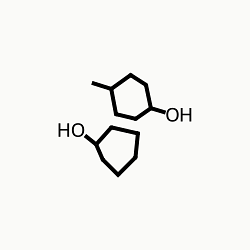 CC1CCC(O)CC1.OC1CCCCC1